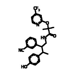 CC(c1ccc(O)cc1)C(CNC(=O)C(C)(C)Oc1cc(C(F)(F)F)ccn1)c1cccc(C#N)c1